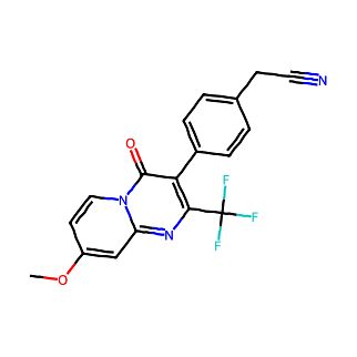 COc1ccn2c(=O)c(-c3ccc(CC#N)cc3)c(C(F)(F)F)nc2c1